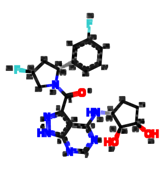 O=C(c1n[nH]c2ncnc(N[C@@H]3CC[C@@H](O)[C@H]3O)c12)N1C[C@@H](F)C[C@@H]1c1cccc(F)c1